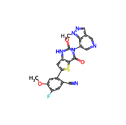 COc1cc(-c2cc3[nH]c(=O)n(-c4cncc5cnn(C)c45)c(=O)c3s2)c(C#N)cc1F